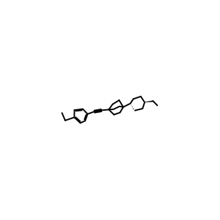 CCc1ccc(C#CC23CCC([C@H]4CC[C@H](CC)CC4)(CC2)CC3)cc1